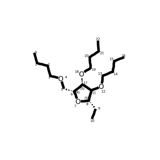 CCCCOC[C@H]1O[C@@H](CC)C(OCCCC)[C@H]1OCCCC